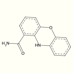 NC(=O)c1cccc2c1Nc1ccccc1O2